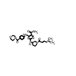 CN(C)C/C=C/C(=O)N1CCCC(Nc2nnc(C(N)=O)c(Nc3ccc(C(=O)N4CCOCC4)cc3)n2)C1